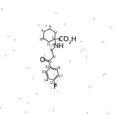 O=C(CCNC1(C(=O)O)CCCCC1)c1ccc(F)cc1